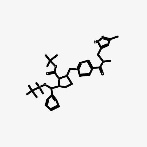 Cc1cc(CN(C)C(=O)c2ccc(CC3CCC(C(O[Si](C)(C)C(C)(C)C)c4ccccc4)N3C(=O)OC(C)(C)C)cc2)[nH]n1